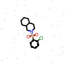 O=S(=O)(c1ccccc1Cl)N1CCC2CCCCC2C1